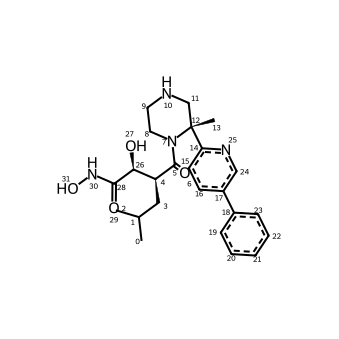 CC(C)C[C@H](C(=O)N1CCNC[C@]1(C)c1ccc(-c2ccccc2)cn1)[C@H](O)C(=O)NO